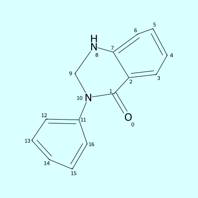 O=C1c2ccccc2NCN1c1ccccc1